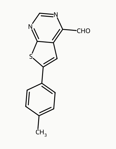 Cc1ccc(-c2cc3c(C=O)ncnc3s2)cc1